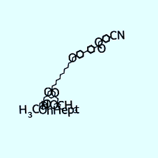 CCCCCCCC1OC(C)CC(CC2CC(CC(C)O)OC(CCCCCCCCCCOc3ccc(-c4ccc(C(=O)Oc5ccc(C#N)cc5)cc4)cc3)O2)O1